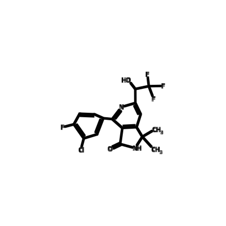 CC1(C)NC(=O)c2c1cc(C(O)C(F)(F)F)nc2-c1ccc(F)c(Cl)c1